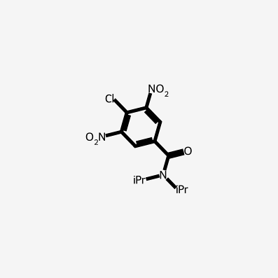 CC(C)N(C(=O)c1cc([N+](=O)[O-])c(Cl)c([N+](=O)[O-])c1)C(C)C